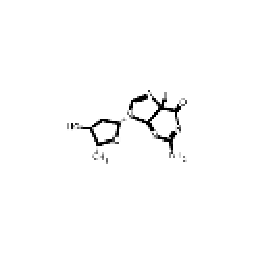 C[C@H]1O[C@@H](N2C=NC3(I)C(=O)N=C(N)N=C23)CC1O